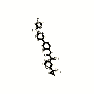 N=C(C(=O)Cc1ccc(-c2cnc(Nc3c[nH]cn3)nc2)cc1F)C1=C=COC(C2(C(F)(F)F)CC2)=C1